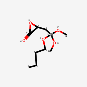 CCCCO[Si](CC1OC1=O)(OC)OC